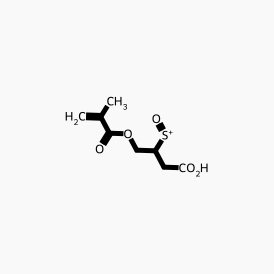 C=C(C)C(=O)OCC(CC(=O)O)[S+]=O